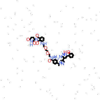 CC(c1ccc(C(=O)NCCOCCOCCNc2cccc3c2C(=O)N(C2CCC(=O)NC2=O)C3=O)cc1)n1cc(-c2cc(-c3ccccc3O)nnc2N)cn1